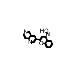 ON=c1cc(-c2cnc3ccncc3c2)oc2ccccc12